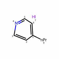 CCCc1ccncc1.I